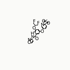 CS(=O)(=O)c1ccc(Oc2cc(OC(CF)CF)cc(C(=O)Nc3ccon3)c2)cn1